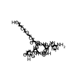 Nc1ncnc2c1ncn2[C@H]1C[C@@H]2OP(=O)(O)OC[C@H]3O[C@@H](n4ccc(=O)[nH]c4=O)C[C@@H]3OP(=O)(SCC(=O)COCCOCCOCCCO)OC[C@H]2O1